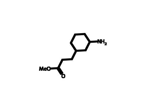 COC(=O)CCC1CCCC(N)C1